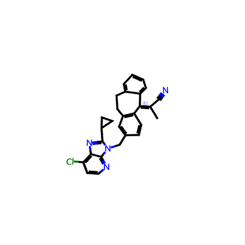 C/C(C#N)=C1/c2ccccc2CCc2cc(Cn3c(C4CC4)nc4c(Cl)ccnc43)ccc21